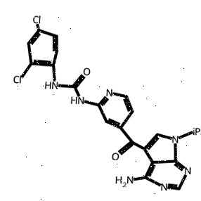 CC(C)n1cc(C(=O)c2ccnc(NC(=O)Nc3ccc(Cl)cc3Cl)c2)c2c(N)ncnc21